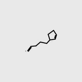 [CH]=CCCCC1C=CCC1